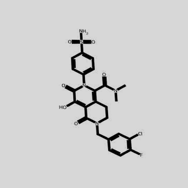 CN(C)C(=O)c1c2c(c(O)c(=O)n1-c1ccc(S(N)(=O)=O)cc1)C(=O)N(Cc1ccc(F)c(Cl)c1)CC2